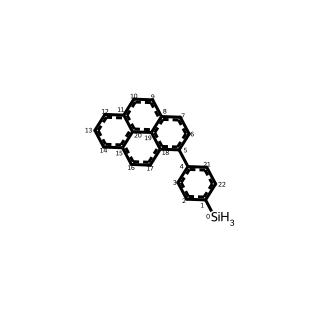 [SiH3]c1ccc(-c2ccc3ccc4cccc5ccc2c3c45)cc1